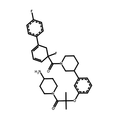 CC(C)(Oc1cccc(C2CCCN(C(=O)C3(F)C=CC=C(c4ccc(F)cc4)C3)C2)c1)C(=O)N1CCC(N)CC1